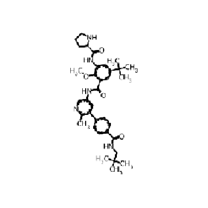 COc1c(NC(=O)[C@H]2CCCN2)cc(C(C)(C)C)cc1C(=O)Nc1cnc(C)c(-c2ccc(C(=O)NCC(C)(C)C)cc2)c1